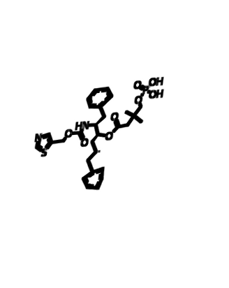 CC(C)(COP(=O)(O)O)CC(=O)O[C@@H](C[CH]Cc1ccccc1)[C@H](Cc1ccccc1)NC(=O)OCc1cncs1